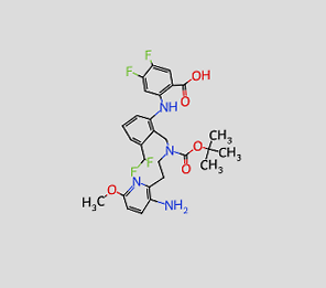 COc1ccc(N)c(CCN(Cc2c(Nc3cc(F)c(F)cc3C(=O)O)cccc2C(F)F)C(=O)OC(C)(C)C)n1